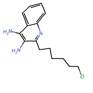 Nc1c(CCCCCCCl)nc2ccccc2c1N